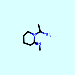 C/N=C1\CCCCN1C(C)N